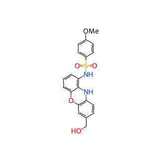 COc1ccc(S(=O)(=O)Nc2cccc3c2Nc2ccc(CO)cc2O3)cc1